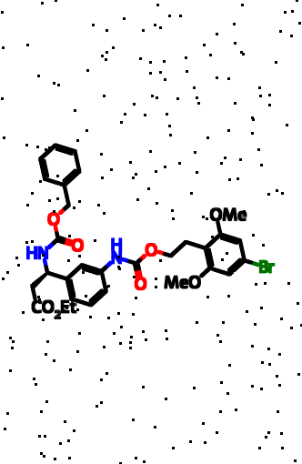 CCOC(=O)C[C@@H](NC(=O)OCc1ccccc1)c1cccc(NC(=O)OCCc2c(OC)cc(Br)cc2OC)c1